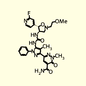 COCCN1C[C@@H](NC(=O)Nc2c(C)c(-c3cc(C(N)=O)c(=O)n(C)n3)nn2-c2ccccc2)[C@H](c2ccnc(F)c2)O1